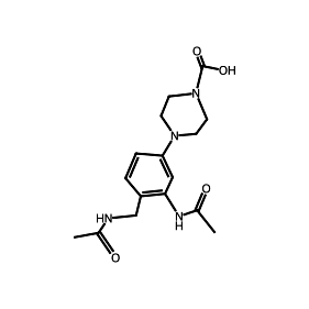 CC(=O)NCc1ccc(N2CCN(C(=O)O)CC2)cc1NC(C)=O